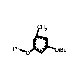 [CH2]c1cc(OCC(C)C)cc(OC(C)C)c1